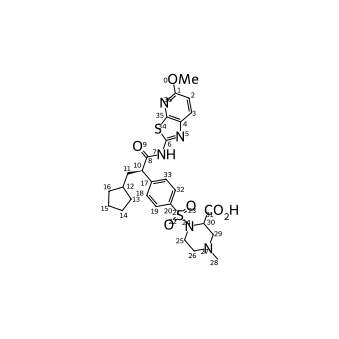 COc1ccc2nc(NC(=O)[C@H](CC3CCCC3)c3ccc(S(=O)(=O)N4CCN(C)CC4C(=O)O)cc3)sc2n1